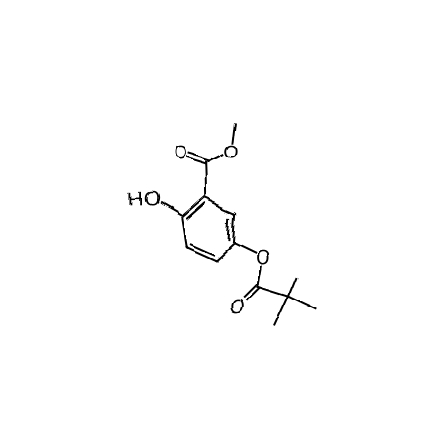 COC(=O)c1cc(OC(=O)C(C)(C)C)ccc1O